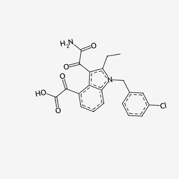 CCc1c(C(=O)C(N)=O)c2c(C(=O)C(=O)O)cccc2n1Cc1cccc(Cl)c1